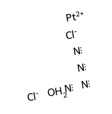 O.[Cl-].[Cl-].[N].[N].[N].[N].[Pt+2]